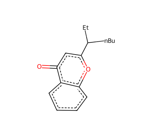 CCCCC(CC)c1cc(=O)c2ccccc2o1